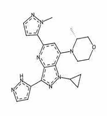 C[C@@H]1COCCN1c1cc(-c2ccnn2C)nc2c(-c3ccn[nH]3)nn(C3CC3)c12